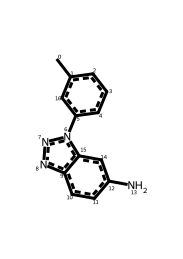 Cc1cccc(-n2nnc3ccc(N)cc32)c1